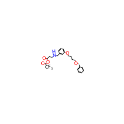 O=C(CCNCc1cccc(OCCCCOCc2ccccc2)c1)OC(=O)C(F)(F)F